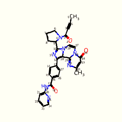 CC#CC(=O)N1CCCC1c1nc(-c2ccc(C(=O)Nc3ccccn3)cc2)c2c3nc(C)cc(=O)n3ccn12